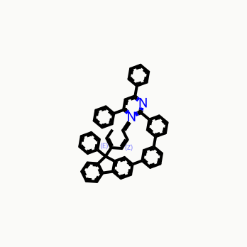 C=C/C=C\C(=C/C)C1(c2ccccc2)c2ccccc2-c2ccc(-c3cccc(-c4cccc(-c5nc(-c6ccccc6)cc(-c6ccccc6)n5)c4)c3)cc21